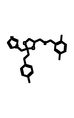 Cc1ccc(CCC2(Cn3ccnc3)OCC(CSCc3cc(C)ccc3C)O2)cc1